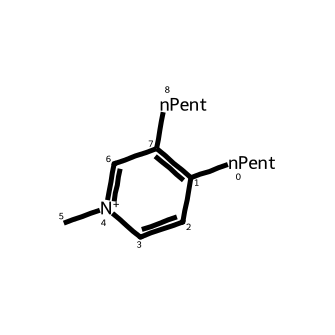 CCCCCc1cc[n+](C)cc1CCCCC